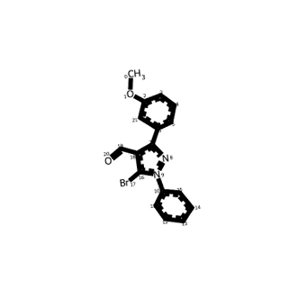 COc1cccc(-c2nn(-c3ccccc3)c(Br)c2C=O)c1